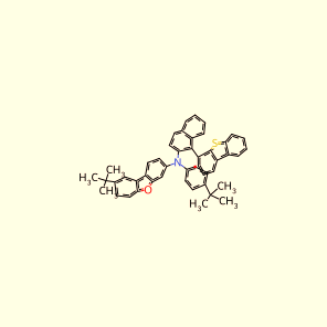 CC(C)(C)c1ccc(N(c2ccc3c(c2)oc2ccc(C(C)(C)C)cc23)c2ccc3ccccc3c2-c2cccc3c2sc2ccccc23)cc1